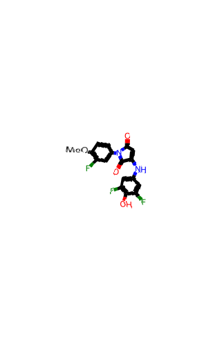 COc1ccc(N2C(=O)C=C(Nc3cc(F)c(O)c(F)c3)C2=O)cc1F